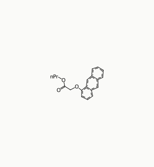 CCCOC(=O)COc1cccc2cc3ccccc3cc12